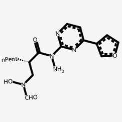 CCCCC[C@@H](CN(O)C=O)C(=O)N(N)c1nccc(-c2ccoc2)n1